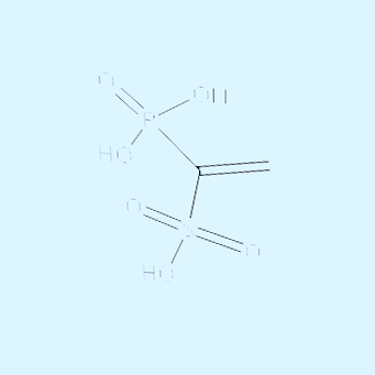 C=C(P(=O)(O)O)S(=O)(=O)O